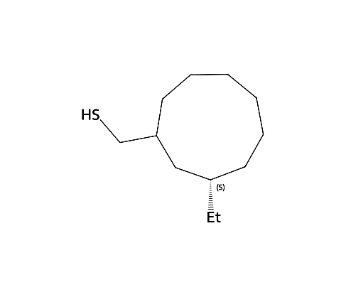 CC[C@H]1CCCCCCC(CS)C1